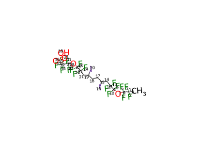 CC(F)(F)C(F)(F)OC(F)(F)C(F)(F)CC(I)CCC(I)CC(F)(F)C(F)(F)OC(F)(F)C(F)(F)S(=O)(=O)O